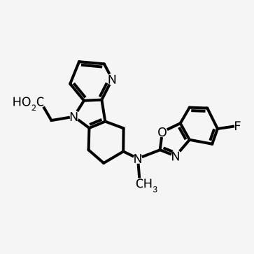 CN(c1nc2cc(F)ccc2o1)C1CCc2c(c3ncccc3n2CC(=O)O)C1